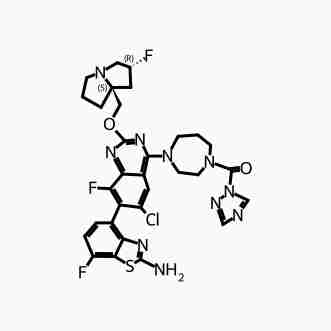 Nc1nc2c(-c3c(Cl)cc4c(N5CCCN(C(=O)n6cncn6)CC5)nc(OC[C@@]56CCCN5C[C@H](F)C6)nc4c3F)ccc(F)c2s1